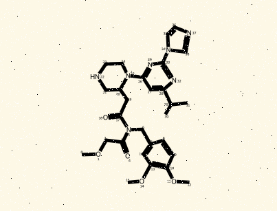 COCC(=O)N(Cc1ccc(OC)c(OC)c1)C(=O)CC1CNCCN1c1cc(C(C)C)nc(-n2ccnc2)n1